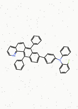 Fc1ccccc1N(c1ccccc1)c1ccc(-c2ccc3c(-c4ccccc4)c4c(ccc5cccnc54)c(-c4ccccc4)c3c2)cc1